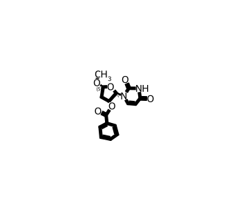 CO[C@@H]1CC(OC(=O)c2ccccc2)[C@H](n2ccc(=O)[nH]c2=O)O1